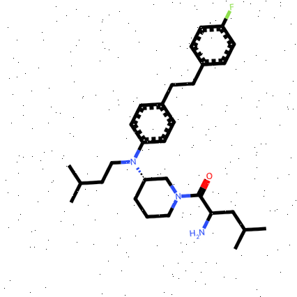 CC(C)CCN(c1ccc(CCc2ccc(F)cc2)cc1)[C@H]1CCCN(C(=O)C(N)CC(C)C)C1